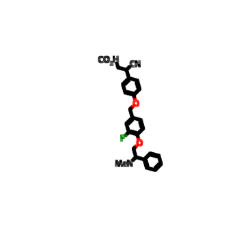 CNC(COc1ccc(COc2ccc(C(C#N)CC(=O)O)cc2)cc1F)c1ccccc1